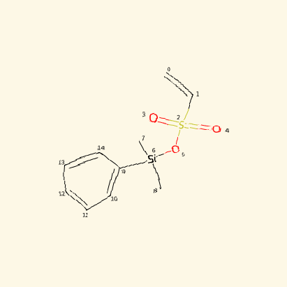 C=CS(=O)(=O)O[Si](C)(C)c1ccccc1